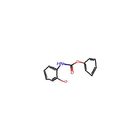 [O]c1ccccc1NC(=O)Oc1ccccc1